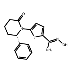 N/C(=N\O)c1ccc(N2C(=O)CCC[C@H]2c2ccccc2)s1